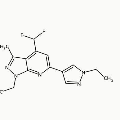 CCn1cc(-c2cc(C(F)F)c3c(C)nn(CC)c3n2)cn1